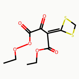 CCOOC(=O)C(=O)C(C(=O)OCC)=C1SCS1